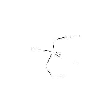 CCCCCOP(=O)(O)OCCCCC.[Cr]